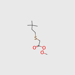 COOC(=O)CSCCC(C)(C)C